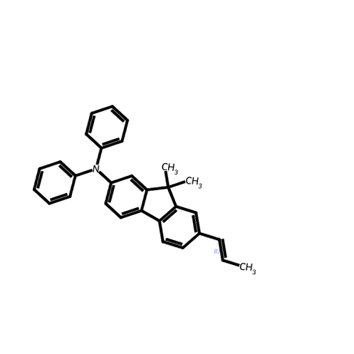 C/C=C/c1ccc2c(c1)C(C)(C)c1cc(N(c3ccccc3)c3ccccc3)ccc1-2